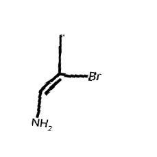 [CH2]C(Br)=CN